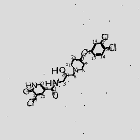 O=C(NC[C@@H](O)CN1CCC(Oc2ccc(Cl)c(Cl)c2)CC1)c1c[nH]c(=O)c(Cl)c1